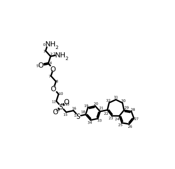 NCC(N)C(=O)OCCOCCS(=O)(=O)CCSc1ccc(C2=Cc3ccccc3CCC2)cc1